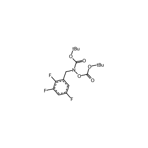 CC(C)(C)OC(=O)ON(Cc1cc(F)cc(F)c1F)C(=O)OC(C)(C)C